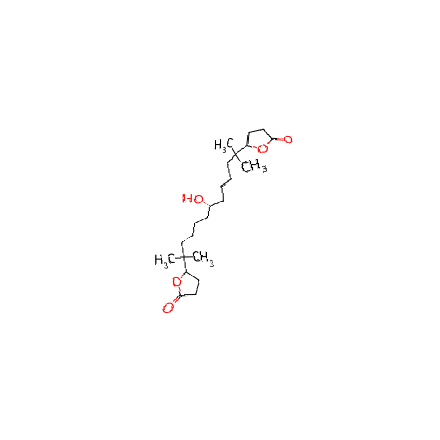 CC(C)(CCCCC(O)CCCCC(C)(C)C1CCC(=O)O1)C1CCC(=O)O1